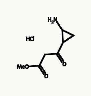 COC(=O)CC(=O)C1CC1N.Cl